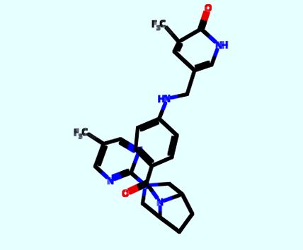 O=C(c1ccc(NCc2c[nH]c(=O)c(C(F)(F)F)c2)cc1)N1C2CCC1CN(c1ncc(C(F)(F)F)cn1)C2